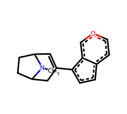 CN1C2C=C(c3ccc4ccocc3-4)CC1CC2